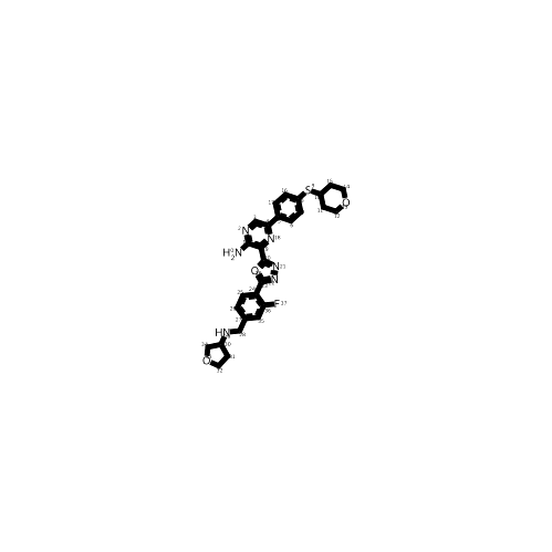 Nc1ncc(-c2ccc(SC3CCOCC3)cc2)nc1-c1nnc(-c2ccc(CNC3CCOC3)cc2F)o1